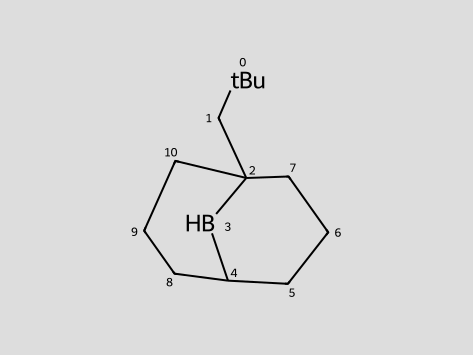 CC(C)(C)CC12BC(CCC1)CCC2